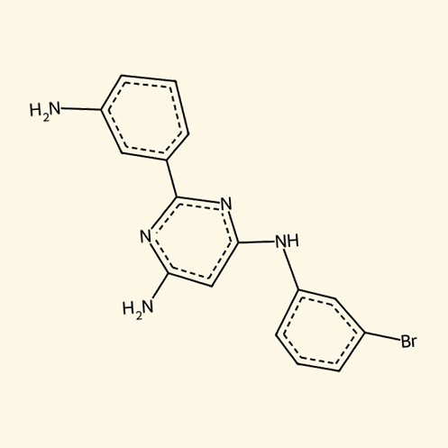 Nc1cccc(-c2nc(N)cc(Nc3cccc(Br)c3)n2)c1